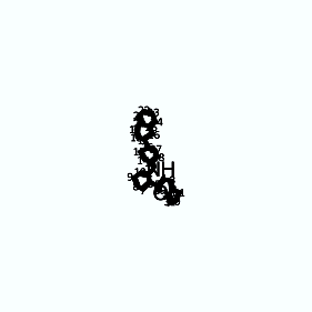 c1cc2ccc(-c3ccccc3Nc3ccc(-c4ccc5ccccc5c4)cc3)oc-2c1